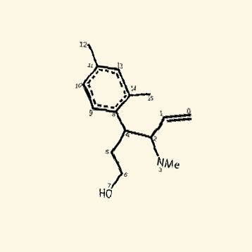 C=CC(NC)C(CCO)c1ccc(C)cc1C